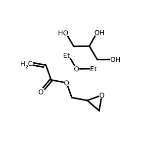 C=CC(=O)OCC1CO1.CCOCC.OCC(O)CO